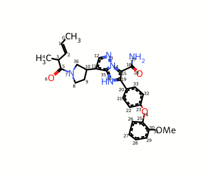 C/C=C/C(C)C(=O)N1CCC(c2cnn3c(C(N)=O)c(-c4ccc(Oc5ccccc5OC)cc4)[nH]c23)C1